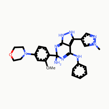 COc1cc(N2CCOCC2)ccc1C1(N)N=C2NNC(c3cnn(C)c3)=C2C(Nc2ccccc2)=N1